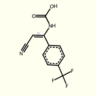 N#C/C=C(/NC(=O)O)c1ccc(C(F)(F)F)cc1